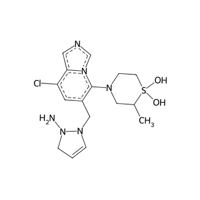 CC1CN(c2c(CN3C=CCN3N)cc(Cl)c3cncn23)CCS1(O)O